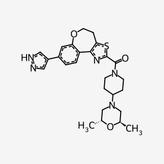 C[C@@H]1CN(C2CCN(C(=O)c3nc4c(s3)CCOc3cc(-c5cn[nH]c5)ccc3-4)CC2)C[C@@H](C)O1